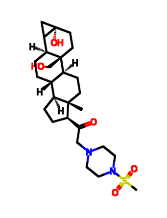 C[C@]12CC[C@H]3[C@@H](CC[C@H]4C5C[C@@]5(O)CC[C@@]43CO)[C@@H]1CC[C@@H]2C(=O)CN1CCN(S(C)(=O)=O)CC1